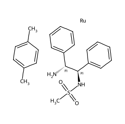 CS(=O)(=O)N[C@H](c1ccccc1)[C@H](N)c1ccccc1.Cc1ccc(C)cc1.[Ru]